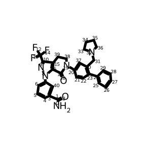 NC(=O)c1cccc(-n2nc(C(F)(F)F)c3c2C(=O)N(c2ccc(-c4ccccc4)c(CN4CCCC4)c2)CC3)c1